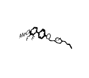 C=CCCC1CCC(COc2ccc(-c3ccc(OC)c(F)c3F)cc2)OC1